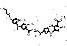 COC(=O)c1cc(Nc2nc(C(N)CCNC(=O)c3cc(Nc4nc(NCCCN)cn4C)cn3C)cn2C)cn1C